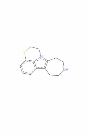 c1cc2c3c(c1)c1c(n3CCS2)CCNCC1